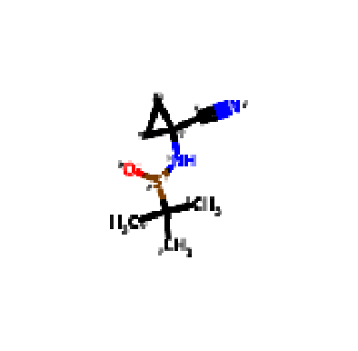 CC(C)(C)[S+]([O-])NC1(C#N)CC1